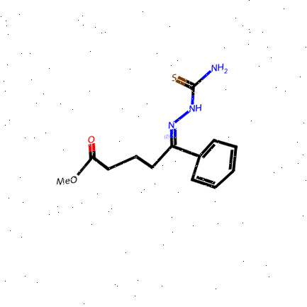 COC(=O)CCC/C(=N/NC(N)=S)c1ccccc1